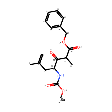 C=C(C)C[C@H](NC(=O)OC(C)(C)C)C(=O)C(C)C(=O)OCc1ccccc1